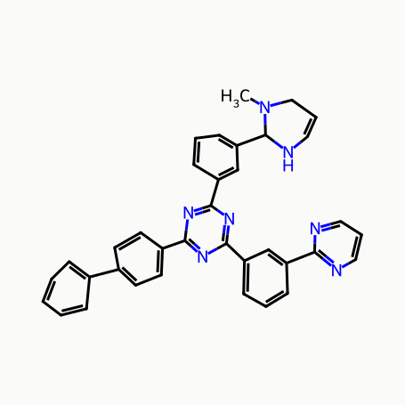 CN1CC=CNC1c1cccc(-c2nc(-c3ccc(-c4ccccc4)cc3)nc(-c3cccc(-c4ncccn4)c3)n2)c1